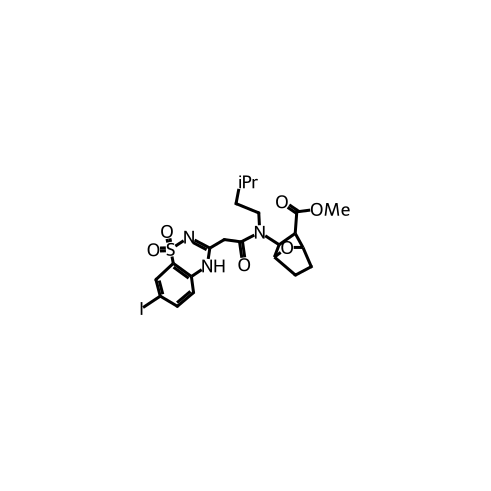 COC(=O)C1C2CCC(O2)C1N(CCC(C)C)C(=O)CC1=NS(=O)(=O)c2cc(I)ccc2N1